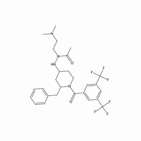 CC(=O)N(CCN(C)C)NC1CCN(C(=O)c2cc(C(F)(F)F)cc(C(F)(F)F)c2)C(Cc2ccccc2)C1